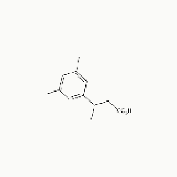 Cc1cc(C)cc(C(C)CC(=O)O)c1